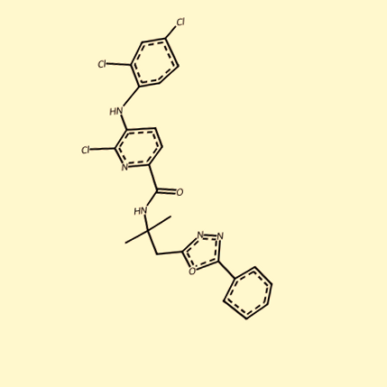 CC(C)(Cc1nnc(-c2ccccc2)o1)NC(=O)c1ccc(Nc2ccc(Cl)cc2Cl)c(Cl)n1